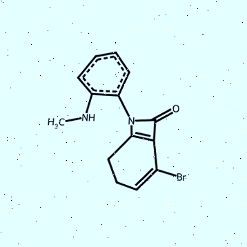 CNc1ccccc1N1C(=O)C2=C1CCC=C2Br